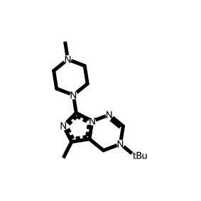 Cc1nc(N2CCN(C)CC2)n2c1CN(C(C)(C)C)C=N2